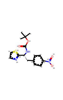 CC(C)(C)OC(=O)N[C@H](Cc1ccc([N+](=O)[O-])cc1)c1nccs1